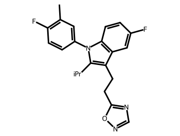 Cc1cc(-n2c(C(C)C)c(CCc3ncno3)c3cc(F)ccc32)ccc1F